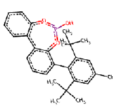 Cc1cc(C(C)(C)C)c(-c2cccc3c2op(O)oc2ccccc23)c(C(C)(C)C)c1